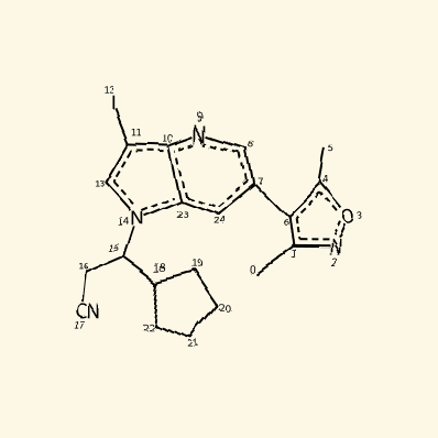 Cc1noc(C)c1-c1cnc2c(I)cn(C(CC#N)C3CCCC3)c2c1